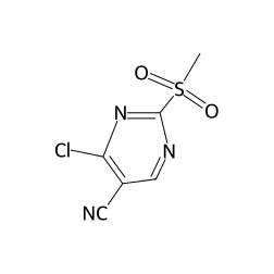 CS(=O)(=O)c1ncc(C#N)c(Cl)n1